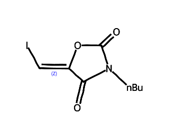 CCCCN1C(=O)O/C(=C\I)C1=O